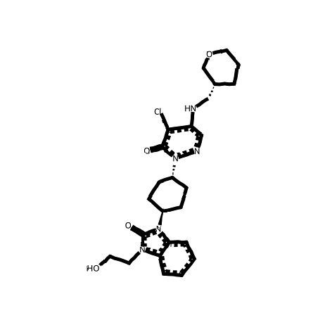 O=c1c(Cl)c(NC[C@H]2CCCOC2)cnn1[C@H]1CC[C@H](n2c(=O)n(CCO)c3ccccc32)CC1